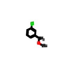 CC(C)(C)O[SiH2]c1cccc(Cl)c1